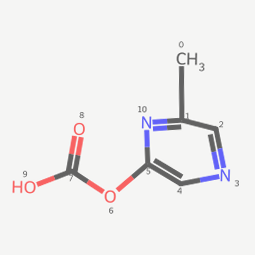 Cc1cncc(OC(=O)O)n1